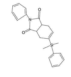 C[Si](C)(C1=CCC2C(=O)N(c3ccccc3)C(=O)C2C1)c1ccccc1